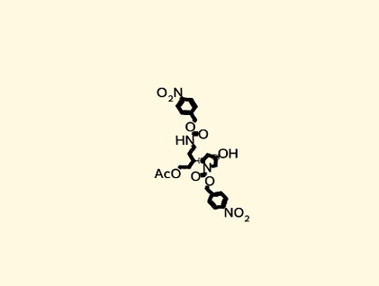 CC(=O)OCCC(CCNC(=O)OCc1ccc([N+](=O)[O-])cc1)[C@@H]1C[C@@H](O)CN1C(=O)OCc1ccc([N+](=O)[O-])cc1